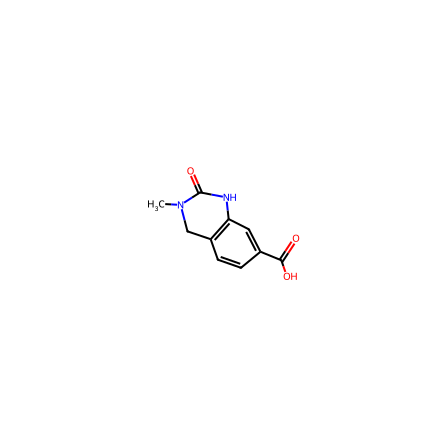 CN1Cc2ccc(C(=O)O)cc2NC1=O